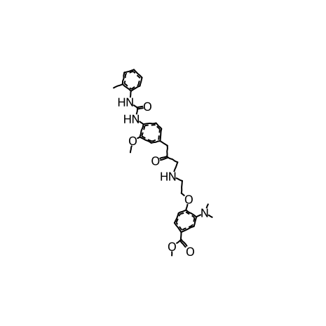 COC(=O)c1ccc(OCCNCC(=O)Cc2ccc(NC(=O)Nc3ccccc3C)c(OC)c2)c(N(C)C)c1